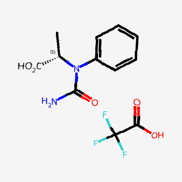 C[C@@H](C(=O)O)N(C(N)=O)c1ccccc1.O=C(O)C(F)(F)F